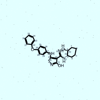 N=C(N[C@H]1CCCC[C@@H]1O)c1c(O)nsc1Nc1ccc(Oc2ccccc2)cc1